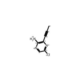 CC#Cc1nc(Cl)cnc1N